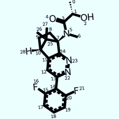 C[C@H](O)C(=O)N(C)[C@@]12CC[C@@H](c3cc(-c4c(F)cccc4F)nnc31)C2(C)C